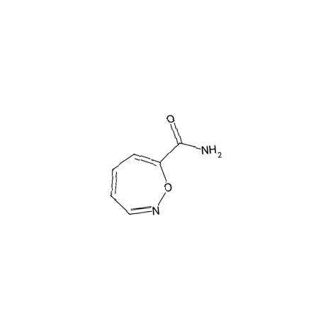 NC(=O)C1=CC=CC=NO1